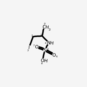 CC(CI)NS(=O)(=O)O